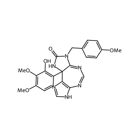 COc1ccc(CN2C(=O)NC3(c4ccc(OC)c(OC)c4O)C2=NC=Nc2[nH]cnc23)cc1